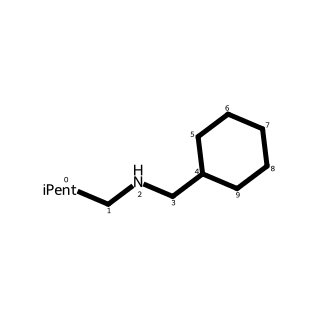 CCCC(C)CNCC1CCCCC1